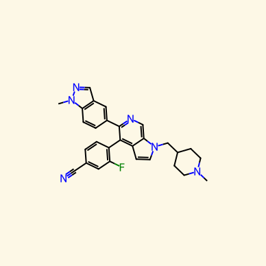 CN1CCC(Cn2ccc3c(-c4ccc(C#N)cc4F)c(-c4ccc5c(cnn5C)c4)ncc32)CC1